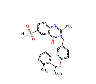 CCCCc1nc2ccc(S(C)(=O)=O)cc2c(=O)n1Cc1ccc(OC(C(=O)O)c2ccccc2C)cc1